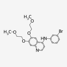 COCCOc1cc2nccc(Nc3cccc(Br)c3)c2cc1OCCOC